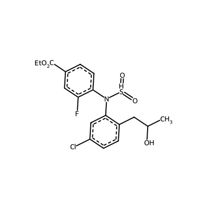 CCOC(=O)c1ccc(N(c2cc(Cl)ccc2CC(C)O)[SH](=O)=O)c(F)c1